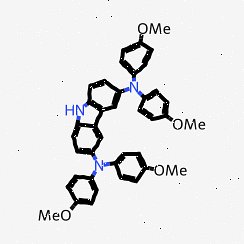 COc1ccc(N(c2ccc(OC)cc2)c2ccc3[nH]c4ccc(N(c5ccc(OC)cc5)c5ccc(OC)cc5)cc4c3c2)cc1